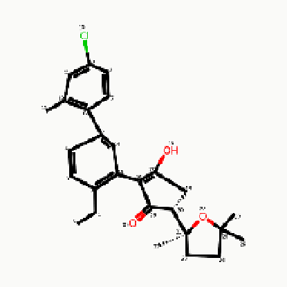 CCc1ccc(-c2ccc(Cl)cc2C)cc1C1=C(O)C[C@H]([C@]2(C)CCC(C)(C)O2)C1=O